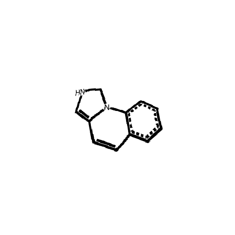 C1=Cc2ccccc2N2CNC=C12